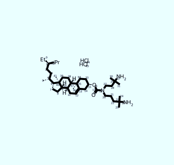 CC[C@H](CC[C@@H](C)[C@H]1CC[C@H]2[C@@H]3CC=C4C[C@@H](OC(=O)N(CCCC(C)(C)N)CCC(C)(C)N)CC[C@]4(C)[C@H]3CC[C@]12C)C(C)C.Cl.Cl